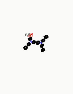 O=S(=O)(Oc1ccc(N(c2ccc(-c3ccccc3)cc2)c2ccc(-c3ccc(N(c4ccc(-c5ccccc5)cc4)c4ccc(-c5ccccc5)cc4)cc3)cc2)cc1)C(F)(F)F